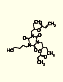 C=CC(=O)OC(CC)Cn1c(=O)n(CCCCO)c(=O)n(CC(CC)OC(=O)C=C)c1=O